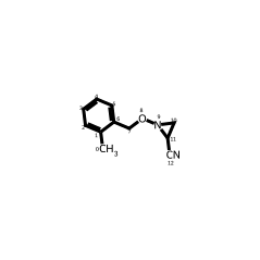 Cc1ccccc1CON1CC1C#N